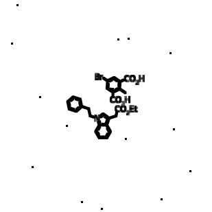 CCOC(=O)Cc1cn(CCc2ccccc2)c2ccccc12.Cc1c(C(=O)O)cc(Br)cc1C(=O)O